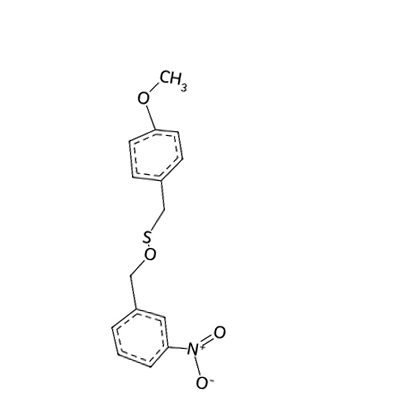 COc1ccc(CSOCc2cccc([N+](=O)[O-])c2)cc1